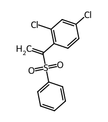 C=C(c1ccc(Cl)cc1Cl)S(=O)(=O)c1ccccc1